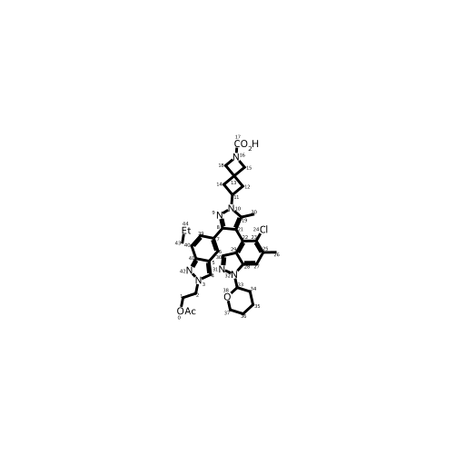 CC(=O)OCCn1cc2cc(-c3nn(C4CC5(C4)CN(C(=O)O)C5)c(C)c3-c3c(Cl)c(C)cc4c3cnn4C3CCCCO3)ccc2n1.CCC